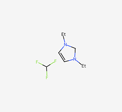 CCN1C=CN(CC)C1.FC(F)F